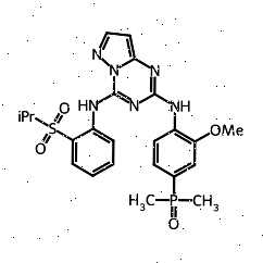 COc1cc(P(C)(C)=O)ccc1Nc1nc(Nc2ccccc2S(=O)(=O)C(C)C)n2nccc2n1